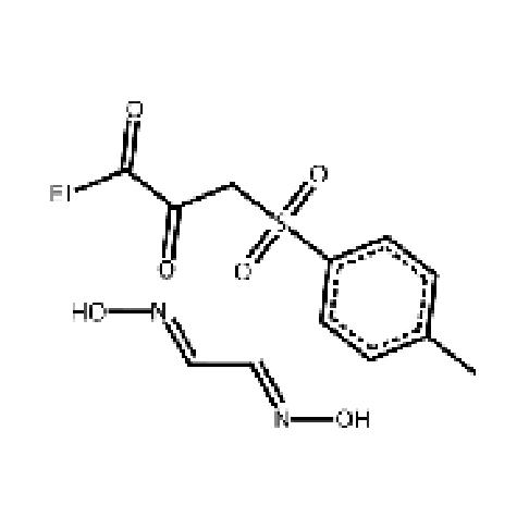 CCC(=O)C(=O)CS(=O)(=O)c1ccc(C)cc1.ON=CC=NO